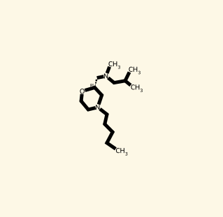 CCCCCN1CCO[C@H](CN(C)CC(C)C)C1